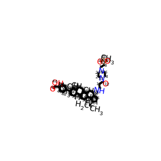 C=C(C)[C@@H]1CC[C@]2(CNCCC(=O)N3CCN(CCS(C)(=O)=O)CC3)CC[C@]3(C)[C@H](CC[C@@H]4[C@@]5(C)CC=C(c6ccc(C(=O)O)cc6)C(C)(C)[C@@H]5CC[C@]43C)[C@@H]12